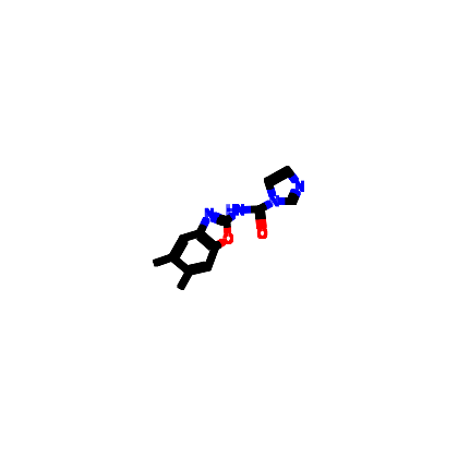 Cc1cc2nc(NC(=O)n3ccnc3)oc2cc1C